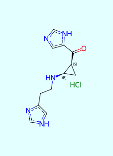 Cl.O=C(c1cnc[nH]1)[C@H]1C[C@H]1NCCc1c[nH]cn1